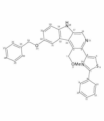 COCc1c(-c2csc(-c3ccccc3)n2)ncc2[nH]c3ccc(OCc4ccccc4)cc3c12